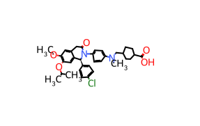 COc1cc2c(cc1OC(C)C)[C@H](c1ccc(Cl)cc1)N(c1ccc(N(C)CC3CCC(C(=O)O)CC3)cc1)C(=O)C2